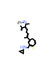 C=C(C)C(=C\C/C=C(\C)C1=CC(CNC2CC2)=C(F)C=CC1)/C(C)=N\C(C)C